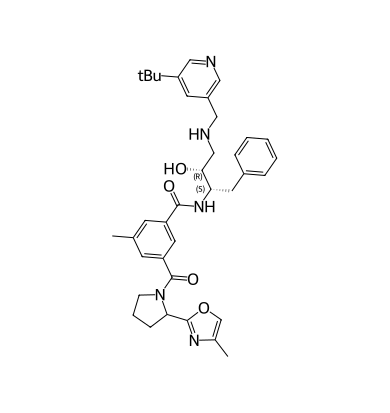 Cc1cc(C(=O)N[C@@H](Cc2ccccc2)[C@H](O)CNCc2cncc(C(C)(C)C)c2)cc(C(=O)N2CCCC2c2nc(C)co2)c1